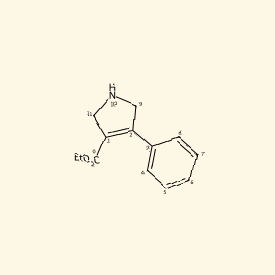 CCOC(=O)C1=C(c2ccccc2)CNC1